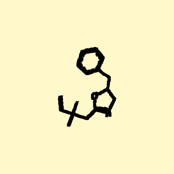 C=CC(C)(C)CC1=NCC(Cc2ccccc2)O1